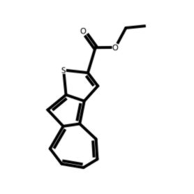 CCOC(=O)c1cc2c3cccccc-3cc2s1